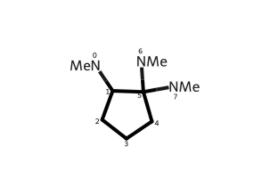 CN[C]1CCCC1(NC)NC